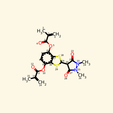 C=C(C)C(=O)Oc1ccc(OC(=O)C(=C)C)c2c1SC(C1C(=O)N(C)N(C)C1=O)S2